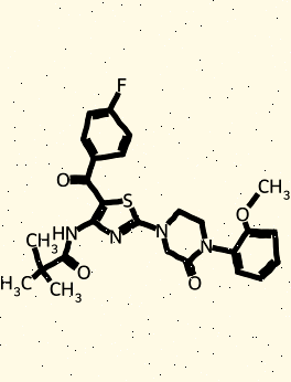 COc1ccccc1N1CCN(c2nc(NC(=O)C(C)(C)C)c(C(=O)c3ccc(F)cc3)s2)CC1=O